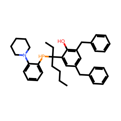 CCCCC(CC)(Pc1ccccc1N1CCCCC1)c1cc(Cc2ccccc2)cc(Cc2ccccc2)c1O